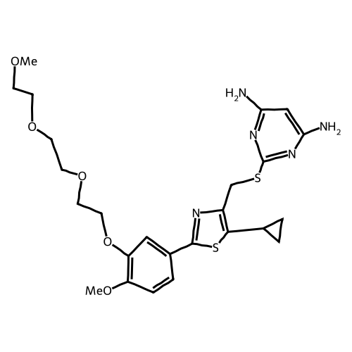 COCCOCCOCCOc1cc(-c2nc(CSc3nc(N)cc(N)n3)c(C3CC3)s2)ccc1OC